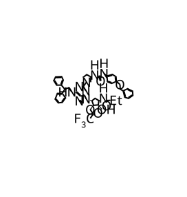 CCC(=O)N[C@H]1C[C@@H](n2cnc3c(NCC(c4ccccc4)c4ccccc4)nc(N4CC[C@@H](NC(=O)Nc5ccc(OCc6ccccc6)cc5)C4)nc32)[C@H](OC(=O)C(F)(F)F)[C@@H]1O